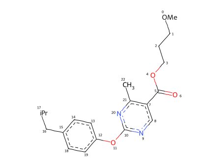 COCCCOC(=O)c1cnc(Oc2ccc(CC(C)C)cc2)nc1C